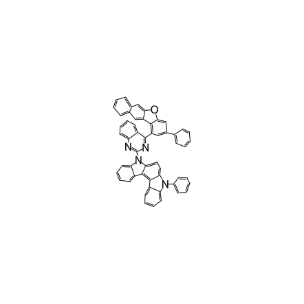 c1ccc(-c2cc(-c3nc(-n4c5ccccc5c5c6c7ccccc7n(-c7ccccc7)c6ccc54)nc4ccccc34)c3c(c2)oc2cc4ccccc4cc23)cc1